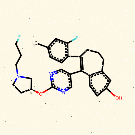 Cc1ccc(C2=C(c3cnc(O[C@H]4CCN(CCCF)C4)nc3)c3ccc(O)cc3CCC2)c(F)c1